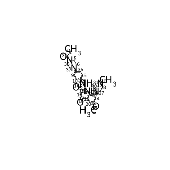 CCC(=O)N1CCN(c2ccc(NC(=O)c3cc(=O)c4cc(OC)cc(N5CCN(C)CC5)c4[nH]3)cc2)CC1